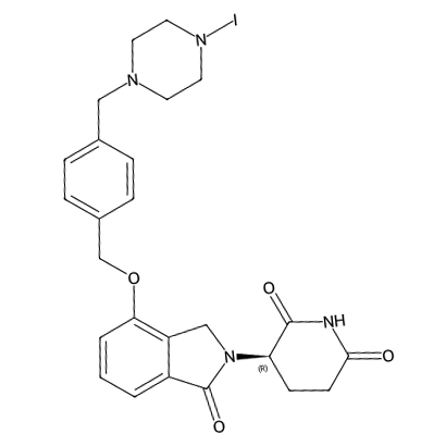 O=C1CC[C@@H](N2Cc3c(OCc4ccc(CN5CCN(I)CC5)cc4)cccc3C2=O)C(=O)N1